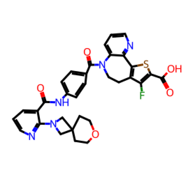 O=C(Nc1ccc(C(=O)N2CCc3c(sc(C(=O)O)c3F)-c3ncccc32)cc1)c1cccnc1N1CC2(CCOCC2)C1